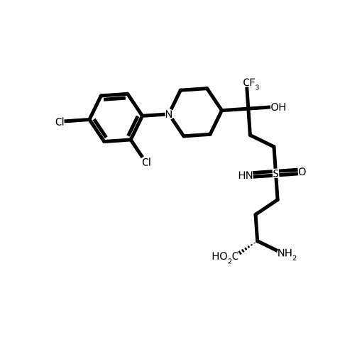 N=S(=O)(CC[C@H](N)C(=O)O)CCC(O)(C1CCN(c2ccc(Cl)cc2Cl)CC1)C(F)(F)F